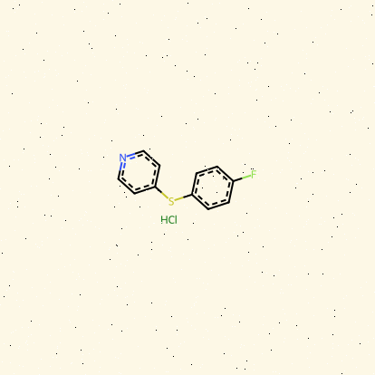 Cl.Fc1ccc(Sc2ccncc2)cc1